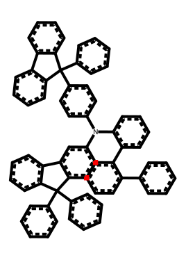 c1ccc(-c2ccccc2-c2ccccc2N(c2ccc(C3(c4ccccc4)c4ccccc4-c4ccccc43)cc2)c2ccc3c(c2)-c2ccccc2C3(c2ccccc2)c2ccccc2)cc1